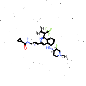 [2H]C([2H])=C(c1nc(/C=C/CNC(=O)C2CC2)cc2c(N[C@@H]3CCN(C)C[C@@H]3F)cccc12)C(F)(F)F